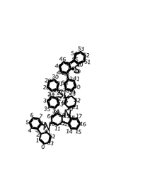 C1=CC2c3ccccc3N(C3=CC4c5ccccc5N(C5=CCCC([Si](c6ccccc6)(c6ccccc6)c6cccc(-c7cccc8c7sc7ccccc78)c6)=C5)C4C=C3)C2C=C1